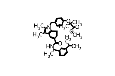 COC(=O)C(C)(C)Oc1ccc(Cn2c(C)c(C)c3cc(C(=O)N[C@@H](C)c4cccc(C(C)C)c4)ccc32)cc1